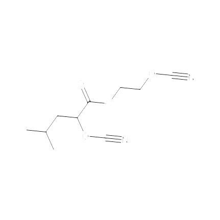 CC(C)CC(OC#N)C(=O)OCCOC#N